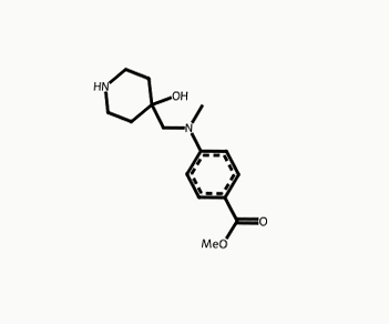 COC(=O)c1ccc(N(C)CC2(O)CCNCC2)cc1